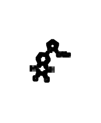 COc1cccn1-c1ccc2[nH]c(=O)c(=O)[nH]c2c1